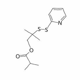 CC(C)C(=O)OCC(C)(C)SSc1ccccn1